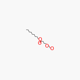 CCCCCCCCCOC(=O)CCCOCCOC